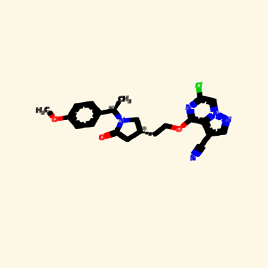 COc1ccc([C@@H](C)N2C[C@H](CCOc3nc(Cl)cn4ncc(C#N)c34)CC2=O)cc1